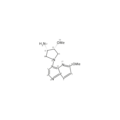 COc1ccc2nccc(N3C[C@H](N)[C@H](OC)C3)c2n1